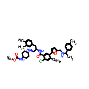 COc1cc(Cl)c(C(=O)NC(CN[C@H]2CC[C@H](NC(=O)OC(C)(C)C)CC2)Cc2ccc(C#N)c(C)c2)cc1-c1ccc(CNC(C)c2ccc(C)cc2)o1